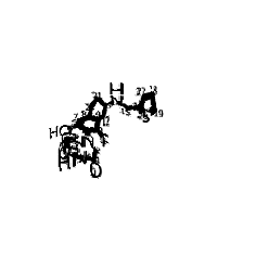 O=C1CN(c2c(O)cc3c(c2F)C[C@H](NCc2cccs2)CC3)S(=O)(=O)N1